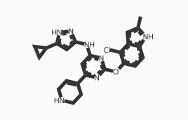 Cc1cc2c(Cl)c(Oc3nc(Nc4cc(C5CC5)[nH]n4)cc(C4=CCNCC4)n3)ccc2[nH]1